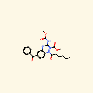 CCCCCC(=O)Nc1ccc(C(=O)c2ccccc2)cc1NC(=NC(=O)OC)NC(=O)OC